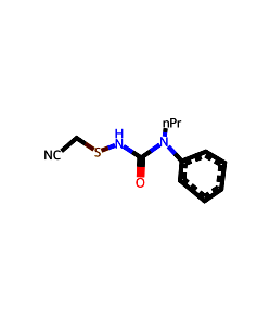 CCCN(C(=O)NSCC#N)c1ccccc1